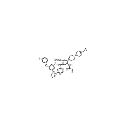 C=CC(=O)Nc1cc(Nc2cc(N3OCC[C@@H]3c3cc(F)cc(Oc4cccc(F)c4)c3)ncn2)c(OC)cc1N1CCC(N2CCN(C3CC3)CC2)CC1